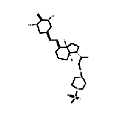 C=C1[C@H](O)C/C(=C/C=C2CCC[C@]3(C)[C@@H](C(C)CCN4CCN(S(C)(=O)=O)CC4)CC[C@@H]23)C[C@@H]1O